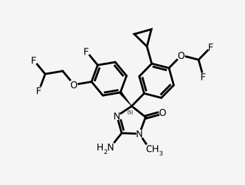 CN1C(=O)[C@@](c2ccc(F)c(OCC(F)F)c2)(c2ccc(OC(F)F)c(C3CC3)c2)N=C1N